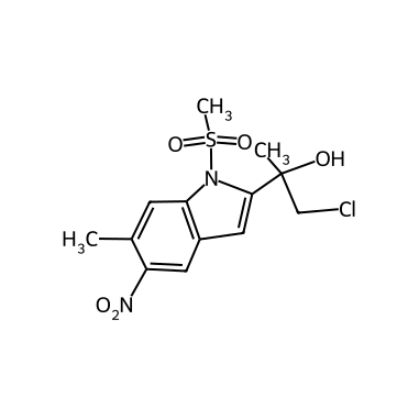 Cc1cc2c(cc1[N+](=O)[O-])cc(C(C)(O)CCl)n2S(C)(=O)=O